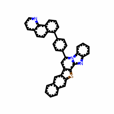 c1ccc2cc3c(cc2c1)sc1c3cc(-c2ccc(-c3cccc4c3ccc3cccnc34)cc2)n2c3ccccc3nc12